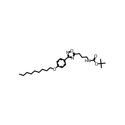 CCCCCCCCCOc1ccc(-c2noc(CCCNC(=O)OC(C)(C)C)n2)cc1